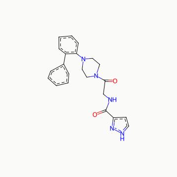 O=C(NCC(=O)N1CCN(c2ccccc2-c2ccccc2)CC1)c1cc[nH]n1